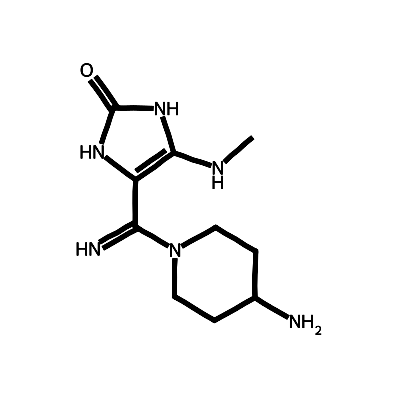 CNc1[nH]c(=O)[nH]c1C(=N)N1CCC(N)CC1